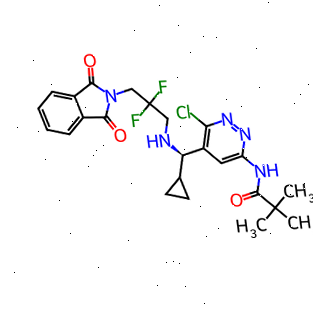 CC(C)(C)C(=O)Nc1cc([C@H](NCC(F)(F)CN2C(=O)c3ccccc3C2=O)C2CC2)c(Cl)nn1